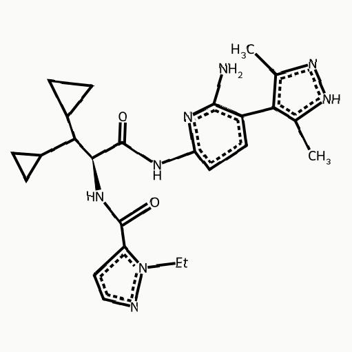 CCn1nccc1C(=O)N[C@H](C(=O)Nc1ccc(-c2c(C)n[nH]c2C)c(N)n1)C(C1CC1)C1CC1